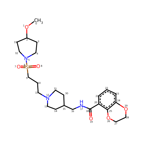 COC1CCN(S(=O)(=O)CCCN2CCC(CNC(=O)c3cccc4c3OCCO4)CC2)CC1